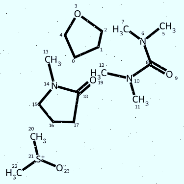 C1CCOC1.CN(C)C(=O)N(C)C.CN1CCCC1=O.C[S+](C)[O-]